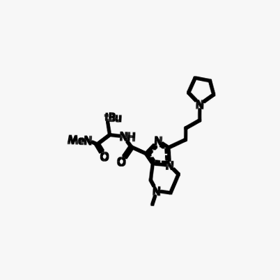 CNC(=O)C(NC(=O)c1nc(CCCN2CCCC2)n2c1CN(C)CC2)C(C)(C)C